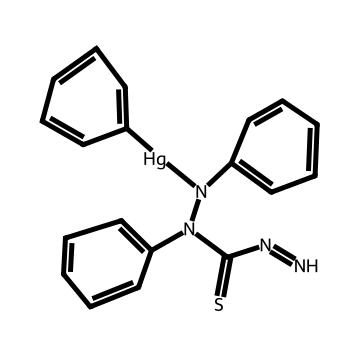 N=NC(=S)N(c1ccccc1)[N]([Hg][c]1ccccc1)c1ccccc1